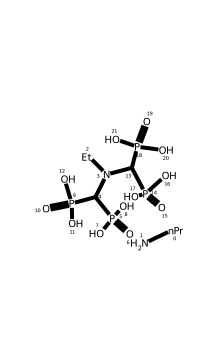 CCCN.CCN(C(P(=O)(O)O)P(=O)(O)O)C(P(=O)(O)O)P(=O)(O)O